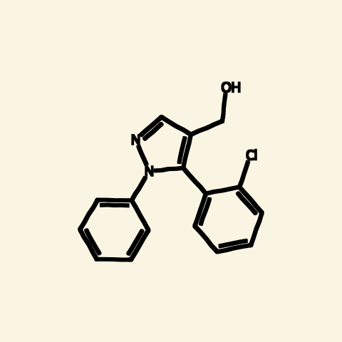 OCc1cnn(-c2ccccc2)c1-c1ccccc1Cl